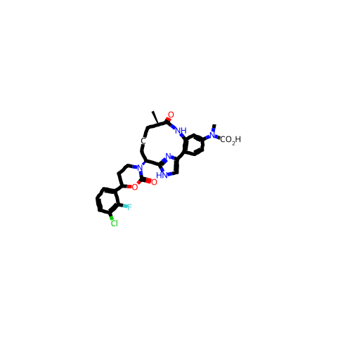 C[C@@H]1CCC[C@H](N2CCC(c3cccc(Cl)c3F)OC2=O)c2nc(c[nH]2)-c2ccc(N(C)C(=O)O)cc2NC1=O